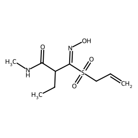 C=CCS(=O)(=O)/C(=N\O)C(CC)C(=O)NC